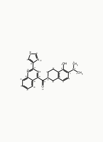 CN(C)c1ccc2c(c1O)CCN(C(=O)c1nc(-c3cscn3)nc3ccccc13)C2